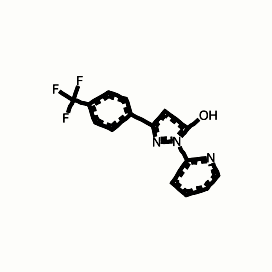 Oc1cc(-c2ccc(C(F)(F)F)cc2)nn1-c1ccccn1